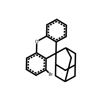 Brc1cccc2c1C1(c3ccccc3O2)C2CC3CC(C2)CC1C3